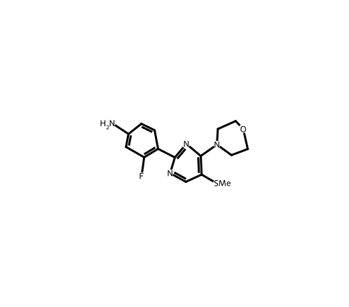 CSc1cnc(-c2ccc(N)cc2F)nc1N1CCOCC1